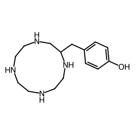 Oc1ccc(CC2CNCCNCCNCCN2)cc1